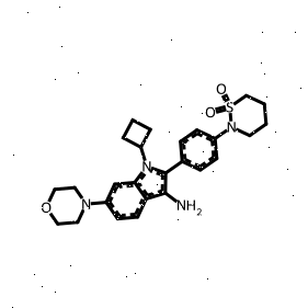 Nc1c(-c2ccc(N3CCCCS3(=O)=O)cc2)n(C2CCC2)c2cc(N3CCOCC3)ccc12